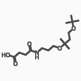 CC(C)(C)OCCC(C)(C)OCCCNC(=O)CCC(=O)O